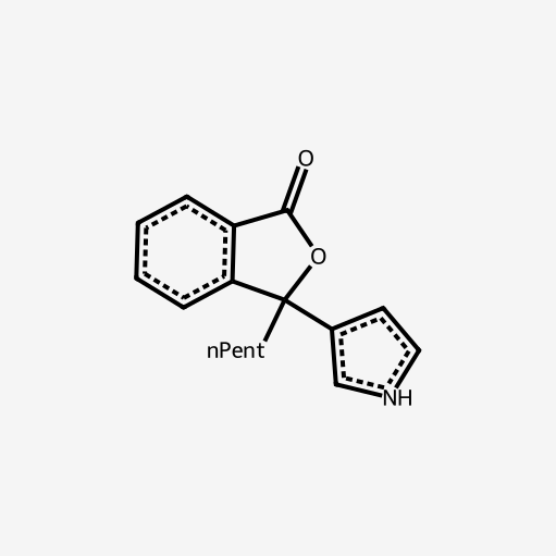 CCCCCC1(c2cc[nH]c2)OC(=O)c2ccccc21